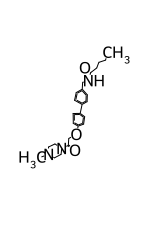 CCCCC(=O)NCc1ccc(-c2ccc(OCC(=O)N3CCN(C)CC3)cc2)cc1